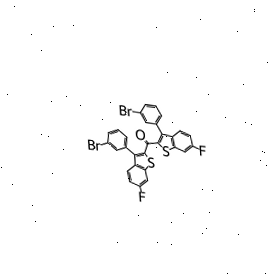 O=C(c1sc2cc(F)ccc2c1-c1cccc(Br)c1)c1sc2cc(F)ccc2c1-c1cccc(Br)c1